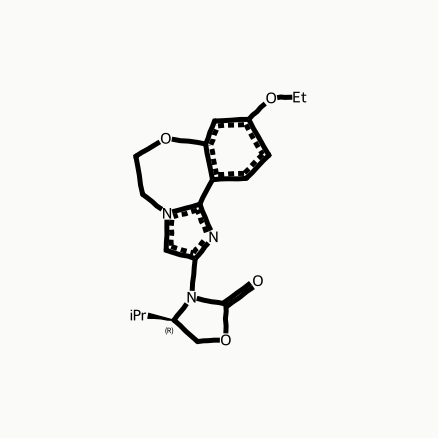 CCOc1ccc2c(c1)OCCn1cc(N3C(=O)OC[C@H]3C(C)C)nc1-2